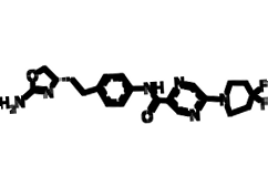 NC1=N[C@@H](CCc2ccc(NC(=O)c3cnc(N4CCC(F)(F)CC4)cn3)cc2)CO1